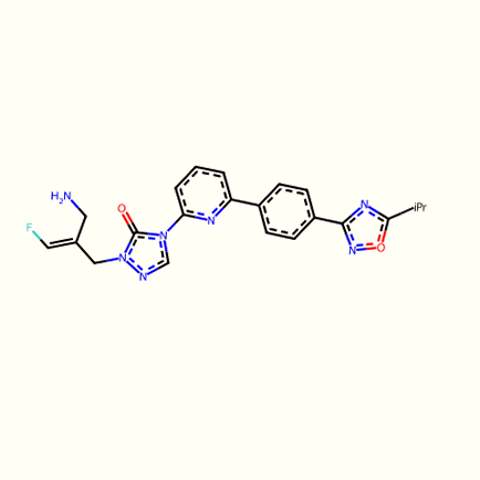 CC(C)c1nc(-c2ccc(-c3cccc(-n4cnn(C/C(=C/F)CN)c4=O)n3)cc2)no1